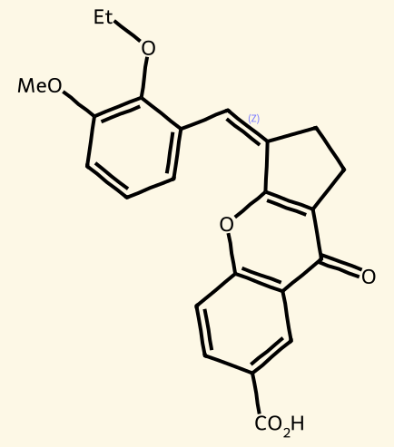 CCOc1c(/C=C2/CCc3c2oc2ccc(C(=O)O)cc2c3=O)cccc1OC